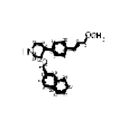 COC/C=C/c1ccc(C2CCNCC2OCc2ccc3ccccc3c2)cc1